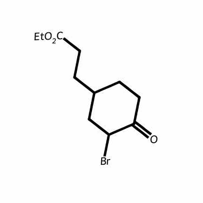 CCOC(=O)CCC1CCC(=O)C(Br)C1